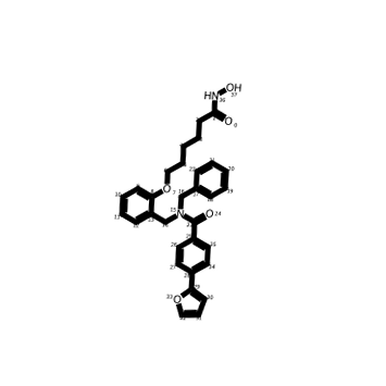 O=C(CCCCCOc1ccccc1CN(Cc1ccccc1)C(=O)c1ccc(-c2ccco2)cc1)NO